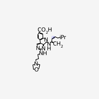 C=C(/C=C\CC(C)C)Nc1nc2cc(C(=O)O)ccc2c2cnc(NCCCN3CCOCC3)nc12